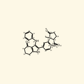 C[N+]1(c2cc(-c3[nH]c4c(c3Nc3ccccc3)C(=O)CCC4)ccn2)C(=O)CC[C@H]1C(N)=O